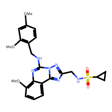 COc1ccc(CNc2nc3c(OC)cccc3c3nc(CNS(=O)(=O)C4CC4)nn23)c(OC)c1